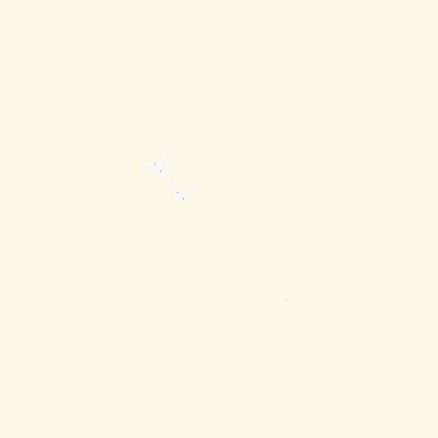 BrC=CCc1cc[nH]n1